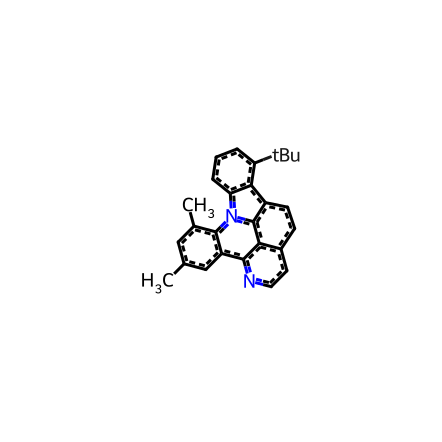 Cc1cc(C)c2c(c1)c1nccc3ccc4c5c(C(C)(C)C)cccc5n2c4c31